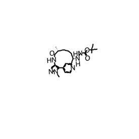 C[C@@H]1CCC[C@H](NNC(=O)OC(C)(C)C)c2cc(ccn2)-c2c(cnn2C)NC1=O